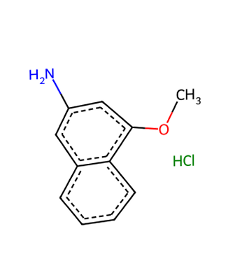 COc1cc(N)cc2ccccc12.Cl